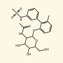 CC(=O)NC1C(Oc2cccc(C)c2-c2cccc(NS(C)(=O)=O)c2)OC(CO)C(O)C1O